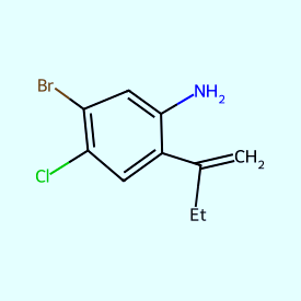 C=C(CC)c1cc(Cl)c(Br)cc1N